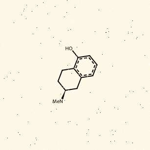 CN[C@H]1CCc2c(O)cccc2C1